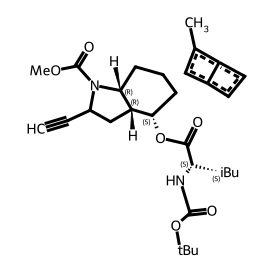 C#CC1C[C@H]2[C@@H](OC(=O)[C@@H](NC(=O)OC(C)(C)C)[C@@H](C)CC)CCC[C@H]2N1C(=O)OC.Cc1cc2ccc1-2